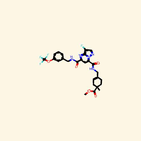 COC(=O)C1(C)CC=C(CNC(=O)c2cc(C(=O)NCc3cccc(OC(F)(F)F)c3)nc3c(F)cnn23)CC1